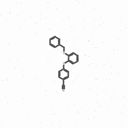 N#Cc1ccc(Sc2ccccc2OCc2ccccc2)cc1